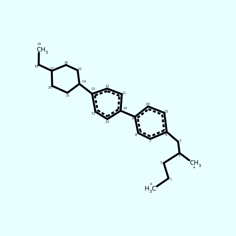 CCCC(C)Cc1ccc(-c2ccc(C3CCC(CC)CC3)cc2)cc1